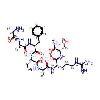 CC(C)C[C@H](NC(=O)[C@H](Cc1ccccc1)NC(=O)[C@H](C)NC(=O)[C@H](C)N)C(=O)N[C@@H](C)C(=O)N[C@@H](CCCNC(=N)N)C(=O)N[C@@H](CO)C(N)=O